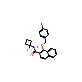 O=C(NC1(C(=O)O)CCC1)c1ccc2ccccc2c1OCc1ccc(F)cc1